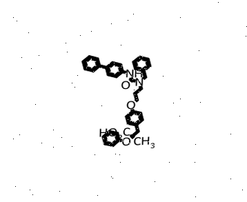 C[C@@](Cc1ccc(OCCCN(Cc2ccccc2)C(=O)Nc2ccc(-c3ccccc3)cc2)cc1)(Oc1ccccc1)C(=O)O